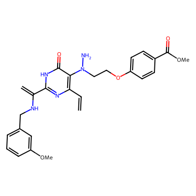 C=Cc1nc(C(=C)NCc2cccc(OC)c2)[nH]c(=O)c1N(N)CCOc1ccc(C(=O)OC)cc1